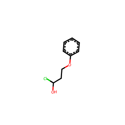 OC(Cl)CCOc1ccccc1